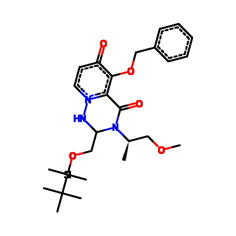 COC[C@H](C)N1C(=O)c2c(OCc3ccccc3)c(=O)ccn2NC1CO[Si](C)(C)C(C)(C)C